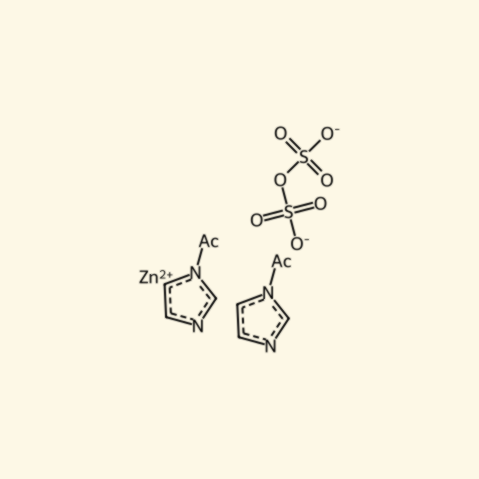 CC(=O)n1ccnc1.CC(=O)n1ccnc1.O=S(=O)([O-])OS(=O)(=O)[O-].[Zn+2]